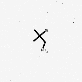 [CH2]CC(C)(C)CN